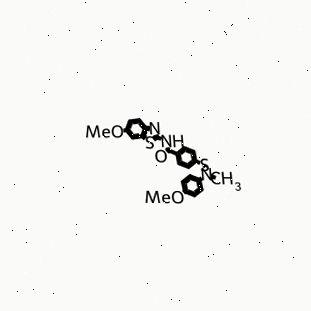 COc1ccc(N(C)Sc2ccc(C(=O)Nc3nc4ccc(OC)cc4s3)cc2)cc1